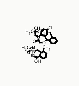 CC(C)(C)CN1C(=O)COC(c2ccccc2Cl)c2cc(Cl)ccc21.Cc1cccc(C(=O)O)c1CNS(C)(=O)=O